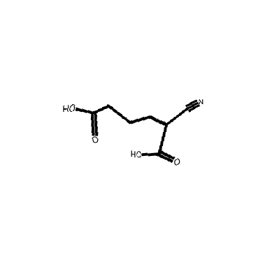 N#CC(CCCC(=O)O)C(=O)O